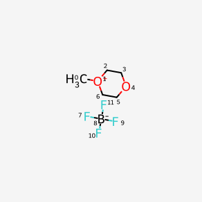 C[O+]1CCOCC1.F[B-](F)(F)F